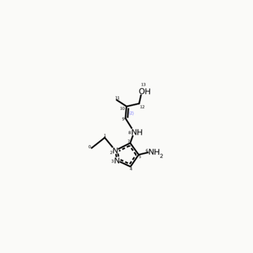 CCn1ncc(N)c1N/C=C(/C)CO